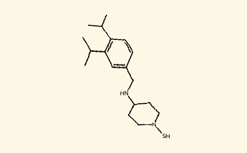 CC(C)c1ccc(CNC2CCN(S)CC2)cc1C(C)C